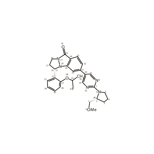 COC[C@H]1CCCN1c1ncc(-c2ccc3c(=O)n4n(c3c2)[C@H](c2ccccc2OC(C)F)CC4)cn1